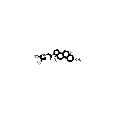 C[C@H]1CC[C@]2(F)C3CC[C@@]4(C)C(CC[C@@H]4C(=O)Cn4cc(C(F)(F)F)c(C#N)n4)C3CC[C@@H]2C1